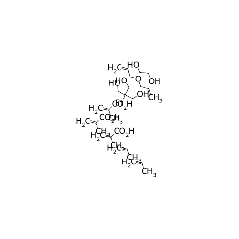 C=C(C)C(=O)O.C=C(C)C(=O)O.C=C(C)C(=O)O.C=CC.C=CC.C=CCOCC=C.CCC(CO)(CO)CO.OCCO